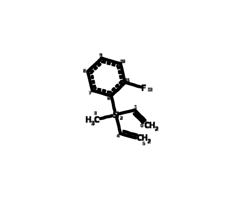 C=C[Si](C)(C=C)c1ccccc1F